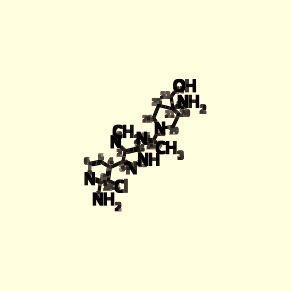 C=Nc1c(-c2ccnc(N)c2Cl)n[nH]c1/N=C(\C)N1CCC(N)(CO)CC1